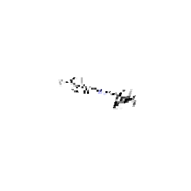 C=C(CCC/C=C/C=C/CCCCC(=O)CCCC(=O)C(=C)CC(C)C)C[C@H]([SiH3])CC